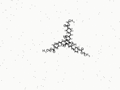 CCOC(=O)N1CCN(CC(O)Cn2c(=O)n(CC(O)CN3CCN(C(=O)OCC)CC3)c(=O)n(CC(O)CN3CCN(C(=O)OCC)CC3)c2=O)CC1